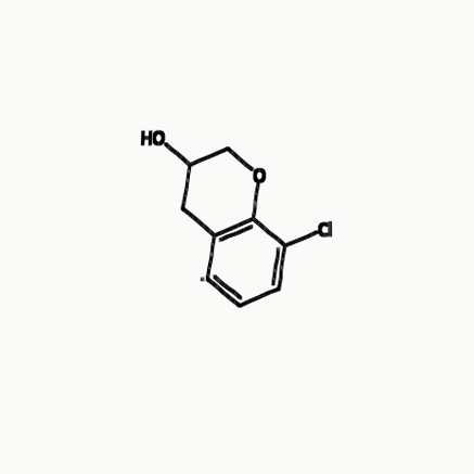 OC1COc2c([c]ccc2Cl)C1